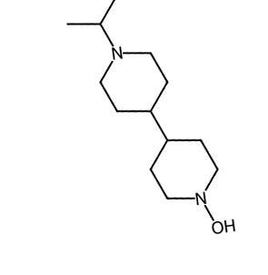 CC(C)N1CCC(C2CCN(O)CC2)CC1